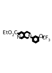 CCOC(=O)c1cc2c(cn1)CN(c1cccc(OC(F)(F)F)c1)CC2